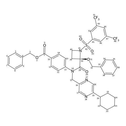 O=C(OCc1ccccc1)c1ccc(N(Cc2cnc(C3CCCCC3)cn2)C(=O)[C@]2(OCc3ccccc3)CCN2S(=O)(=O)c2cc(C(F)(F)F)cc(C(F)(F)F)c2)cc1